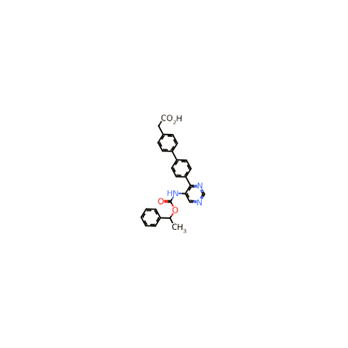 CC(OC(=O)Nc1cncnc1-c1ccc(-c2ccc(CC(=O)O)cc2)cc1)c1ccccc1